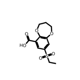 CCS(=O)(=O)c1cc2c(c(C(=O)O)c1)OCCCO2